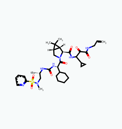 C=CCNC(=O)C(=O)C(NC(=O)[C@@H]1[C@@H]2[C@H](CN1C(=O)[C@@H](NC(=O)N[C@H](CN(C)S(=O)(=O)c1ccccn1)C(C)(C)C)C1CCCCC1)C2(C)C)C1CC1